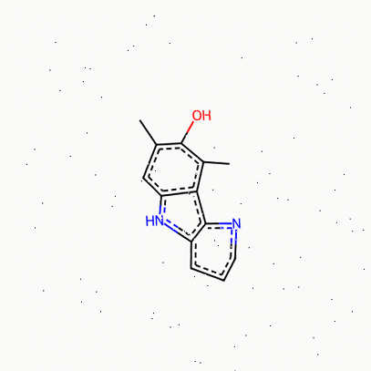 Cc1cc2[nH]c3cccnc3c2c(C)c1O